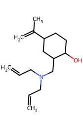 C=CCN(CC=C)CC1CC(C(=C)C)CCC1O